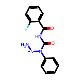 NNN(C(=O)NC(=O)c1ccccc1F)c1ccccc1